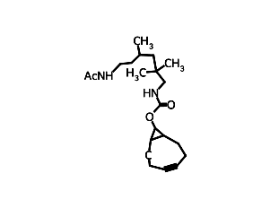 CC(=O)NCCC(C)CC(C)(C)CNC(=O)OC1C2CCC#CCCC21